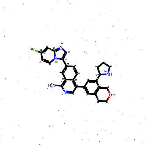 Nc1ncc(-c2cc3c(c(C4CCCN4)c2)COCC3)c2ccc(-c3cnc4cc(F)ccn34)cc12